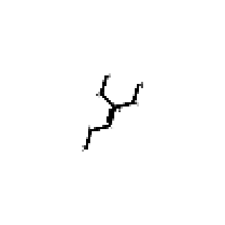 CCC=C(CC)CC